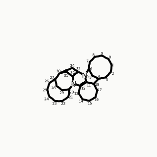 C1CCCC2CC(CCC1)N1C3=C(CCCCCC32)N2C3CCCCCCC(CC3)C3CC2C1C3